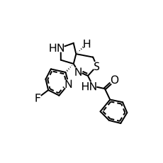 O=C(NC1=N[C@@]2(c3ccc(F)cn3)CNC[C@H]2CS1)c1ccccc1